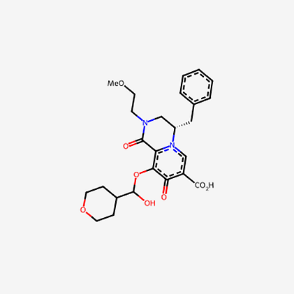 COCCN1C[C@H](Cc2ccccc2)n2cc(C(=O)O)c(=O)c(OC(O)C3CCOCC3)c2C1=O